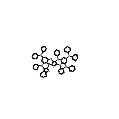 c1ccc(N(c2ccccc2)c2cc3c4c(c2)N(c2ccccc2)c2c(sc5ccccc25)B4c2sc4c(c2O3)N(c2ccccc2)c2cc(N(c3ccccc3)c3ccccc3)cc3c2B4c2ccccc2N3c2ccccc2)cc1